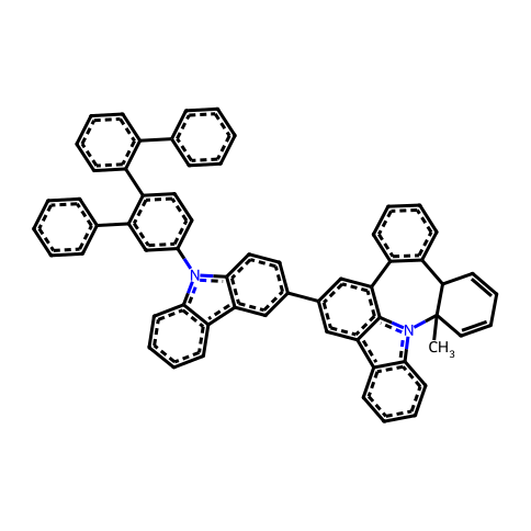 CC12C=CC=CC1c1ccccc1-c1cc(-c3ccc4c(c3)c3ccccc3n4-c3ccc(-c4ccccc4-c4ccccc4)c(-c4ccccc4)c3)cc3c4ccccc4n2c13